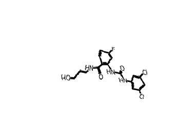 O=C(Nc1cc(Cl)cc(Cl)c1)Nc1cc(F)ccc1C(=O)NCCCO